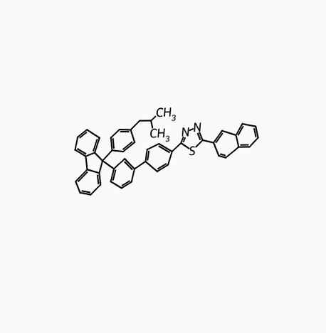 CC(C)Cc1ccc(C2(c3cccc(-c4ccc(-c5nnc(-c6ccc7ccccc7c6)s5)cc4)c3)c3ccccc3-c3ccccc32)cc1